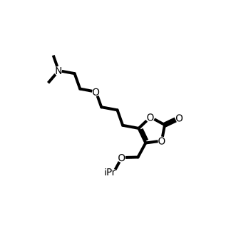 CC(C)OCc1oc(=O)oc1CCCOCCN(C)C